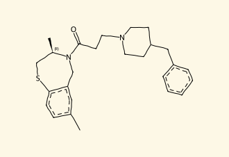 Cc1ccc2c(c1)CN(C(=O)CCN1CCC(Cc3ccccc3)CC1)[C@H](C)CS2